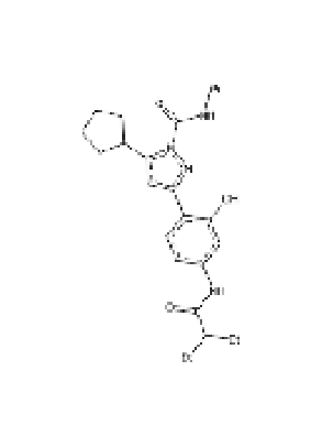 CCC(CC)C(=O)Nc1ccc(-c2cc(C3CCCC3)n(C(=O)NC(C)C)n2)c(O)c1